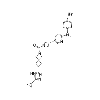 CC(C)c1ccc(N(C)c2ccc(C3CN(C(=O)N4CC5(CC(c6nnc(C7CC7)[nH]6)C5)C4)C3)cn2)cc1